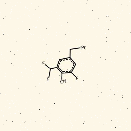 CC(C)Cc1cc(F)c(C#N)c(C(F)F)c1